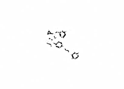 Cc1cccc(CN(C(=O)[C@H]2CNCC(=O)N2c2ccc(OCCOc3c(F)ccc(F)c3F)cc2)C2CC2)c1C